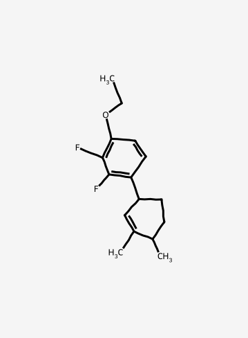 CCOc1ccc(C2C=C(C)C(C)CC2)c(F)c1F